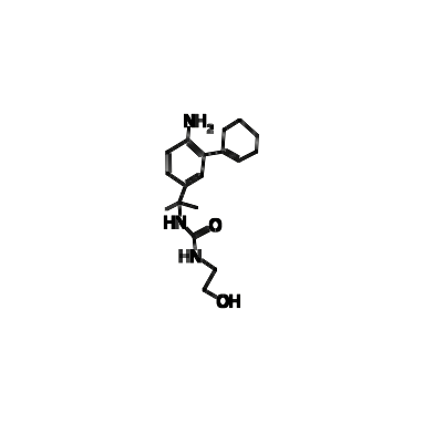 CC(C)(NC(=O)NCCO)c1ccc(N)c(C2=CCCCC2)c1